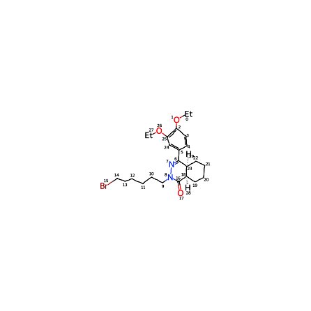 CCOc1ccc(C2=NN(CCCCCCBr)C(=O)[C@@H]3CCCC[C@H]23)cc1OCC